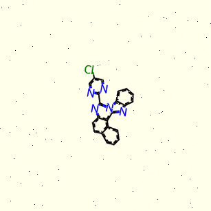 Clc1cnc(-c2nc3ccc4ccccc4c3c3nc4ccccc4n23)nc1